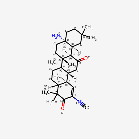 [C-]#[N+]C1=C[C@]2(C)[C@H]3CC(=O)[C@@H]4[C@@H]5CC(C)(C)CC[C@]5(N)CC[C@@]4(C)[C@]3(C)CC[C@H]2C(C)(C)C1=O